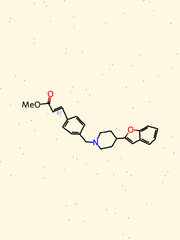 COC(=O)/C=C/c1ccc(CN2CCC(c3cc4ccccc4o3)CC2)cc1